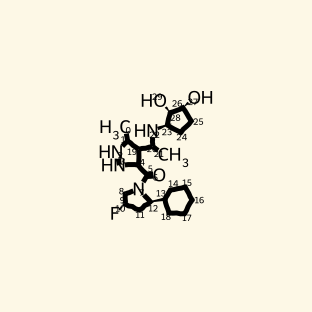 CC1NNC(C(=O)N2C[C@@H](F)C[C@@H]2C2CCCCC2)C1C(C)N[C@@H]1CC[C@@H](O)[C@H]1O